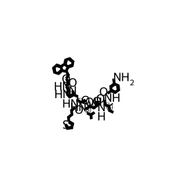 CC[C@H](C)[C@H](NC(=O)C[C@H](O)[C@H](CC(C)C)NC(=O)[C@H](Cc1c[nH]c(NC(=O)OCC2c3ccccc3-c3ccccc32)n1)NC(=O)CCCc1cccs1)C(=O)NC(=O)c1cccc(CN)c1